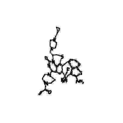 C=CC(=O)N1CCN(c2nc(=O)n3c4c(c(-c5cccc6sc(N)c(C#N)c56)c(C(F)(F)F)cc24)SCC3CN2CCN(C3CC3)CC2)CC1